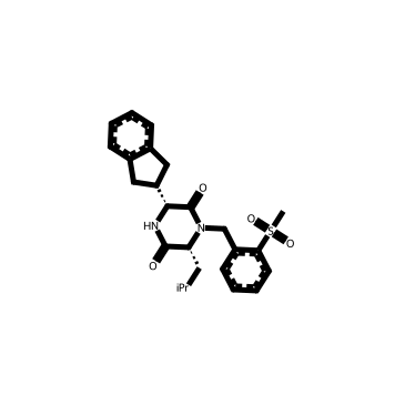 CC(C)C[C@@H]1C(=O)N[C@H](C2Cc3ccccc3C2)C(=O)N1Cc1ccccc1S(C)(=O)=O